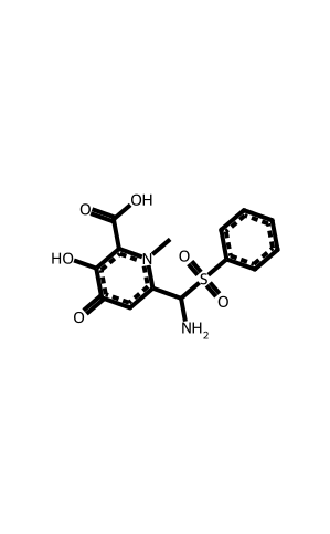 Cn1c(C(N)S(=O)(=O)c2ccccc2)cc(=O)c(O)c1C(=O)O